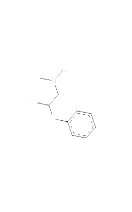 CCC(CN(C)C)Oc1ccccc1